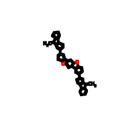 C=C1C2=C(CCC=C2)c2ccc(-c3ccc4c(c3)C3C=c5oc6ccc(-c7ccc8c(c7)C(=C)c7ccccc7-8)cc6c5=CC3O4)cc21